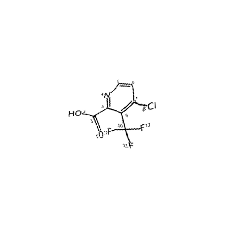 O=C(O)c1nccc(Cl)c1C(F)(F)F